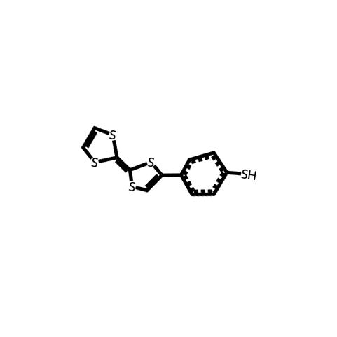 Sc1ccc(C2=CSC(=C3SC=CS3)S2)cc1